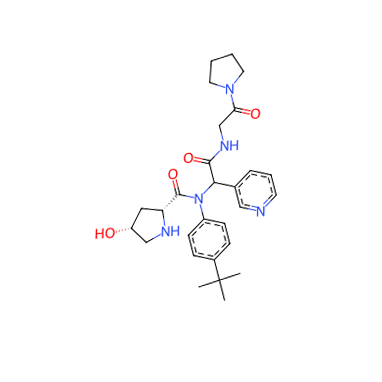 CC(C)(C)c1ccc(N(C(=O)[C@H]2C[C@@H](O)CN2)C(C(=O)NCC(=O)N2CCCC2)c2cccnc2)cc1